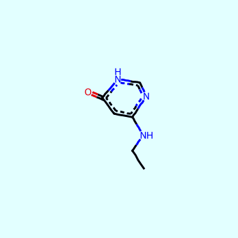 CCNc1cc(=O)[nH]cn1